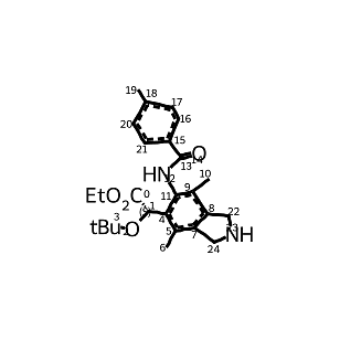 CCOC(=O)[C@@H](OC(C)(C)C)c1c(C)c2c(c(C)c1NC(=O)c1ccc(C)cc1)CNC2